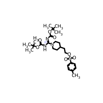 Cc1ccc(S(=O)(=O)OCCC2CCN(/C(=N\C(=O)OC(C)(C)C)NC(=O)OC(C)(C)C)CC2)cc1